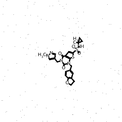 Cn1cc(Cn2c(=O)c3cc(S(=O)(=O)NC4(C)CC4)sc3n(Cc3ccc4c(c3)CCO4)c2=O)cn1